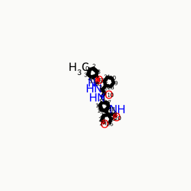 Cc1ccc2oc(N[C@H](C(=O)Nc3ccc4c(c3)NC(=O)C43CCOCC3)C3CCCCC3)nc2c1